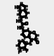 O=C(Nc1ccc2c(c1)OCC(=O)N2Cc1cccc(F)c1F)Nc1ccc2cc[nH]c2c1